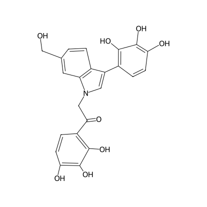 O=C(Cn1cc(-c2ccc(O)c(O)c2O)c2ccc(CO)cc21)c1ccc(O)c(O)c1O